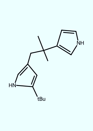 CC(C)(C)c1cc(CC(C)(C)c2cc[nH]c2)c[nH]1